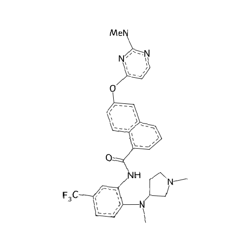 CNc1nccc(Oc2ccc3c(C(=O)Nc4cc(C(F)(F)F)ccc4N(C)C4CCN(C)C4)cccc3c2)n1